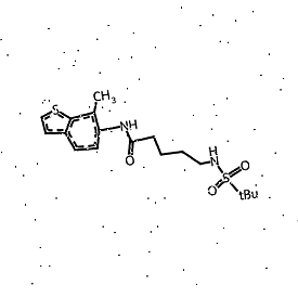 Cc1c(NC(=O)CCCCNS(=O)(=O)C(C)(C)C)ccc2ccsc12